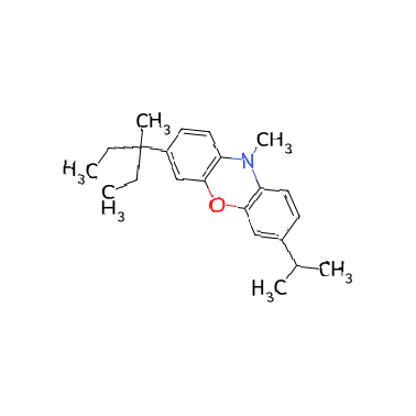 CCC(C)(CC)c1ccc2c(c1)Oc1cc(C(C)C)ccc1N2C